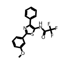 COc1cccc(-c2nc(-c3ccccc3)c(NC(=O)C(F)(F)F)s2)c1